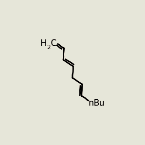 C=CC=CCC=CCCCC